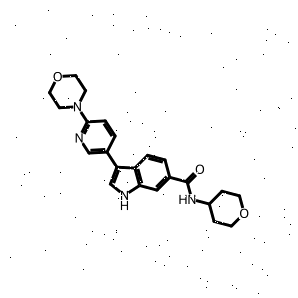 O=C(NC1CCOCC1)c1ccc2c(-c3ccc(N4CCOCC4)nc3)c[nH]c2c1